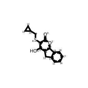 O=c1oc2c(c(O)c1SCC1CC1)Cc1ccccc1-2